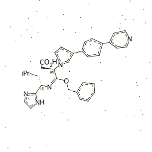 CC(C)C[C@H](N=C(OCc1ccccc1)[C@@H](CC(=O)O)n1ccc(-c2ccc(-c3ccncc3)cc2)c1)c1ncc[nH]1